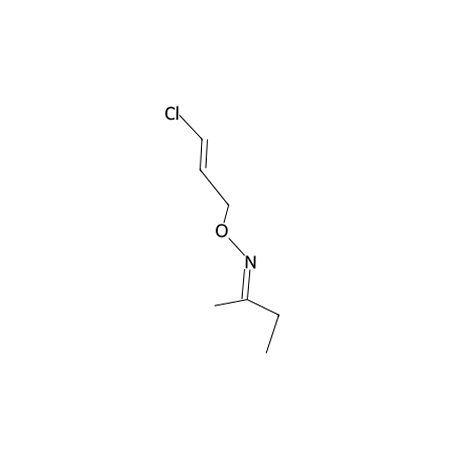 CC/C(C)=N/OC/C=C/Cl